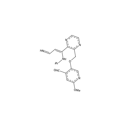 COc1cc(C=O)c(OCc2nccnc2/C(=C/C=N)NC(C)C)cn1